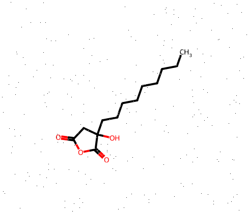 CCCCCCCCCC1(O)CC(=O)OC1=O